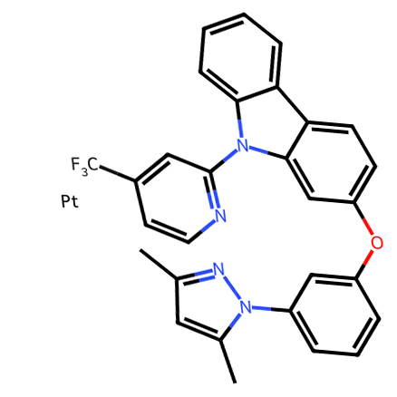 Cc1cc(C)n(-c2cccc(Oc3ccc4c5ccccc5n(-c5cc(C(F)(F)F)ccn5)c4c3)c2)n1.[Pt]